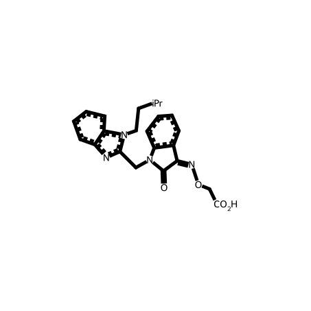 CC(C)CCn1c(CN2C(=O)/C(=N\OCC(=O)O)c3ccccc32)nc2ccccc21